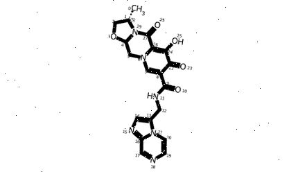 C[C@H]1COC2Cn3cc(C(=O)NCc4cnc5cnccn45)c(=O)c(O)c3C(=O)N21